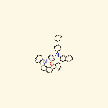 c1ccc(-c2ccc(N(c3ccc(-n4c5ccccc5c5ccc6ccc7c8ccccc8oc7c6c54)cc3)c3ccc4ccccc4c3)cc2)cc1